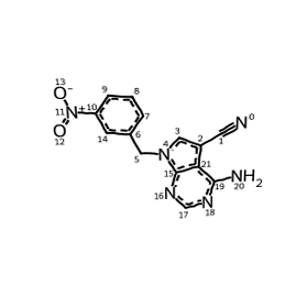 N#Cc1cn(Cc2cccc([N+](=O)[O-])c2)c2ncnc(N)c12